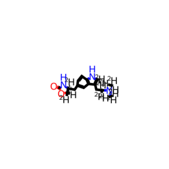 [2H]c1[nH]c2ccc(C[C@]3([2H])NC(=O)OC3([2H])[2H])cc2c1CC([2H])([2H])N(C([2H])([2H])[2H])C([2H])([2H])[2H]